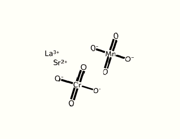 [La+3].[O]=[Cr](=[O])([O-])[O-].[O]=[Mn](=[O])([O-])[O-].[Sr+2]